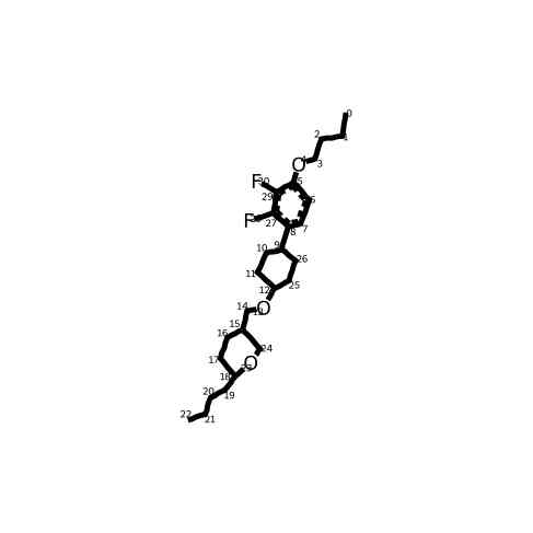 CCCCOc1ccc(C2CCC(OCC3CCC(CCCC)OC3)CC2)c(F)c1F